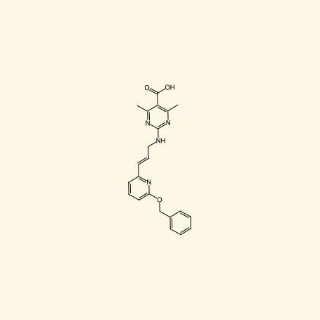 Cc1nc(NCC=Cc2cccc(OCc3ccccc3)n2)nc(C)c1C(=O)O